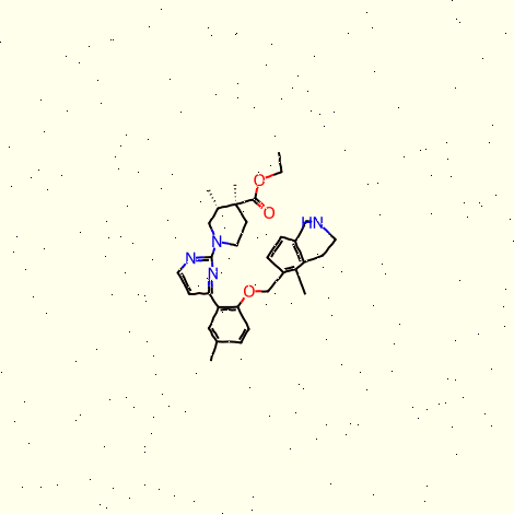 CCOC(=O)[C@@]1(C)CCN(c2nccc(-c3cc(C)ccc3OCc3ccc4c(c3C)CCNC4)n2)C[C@@H]1C